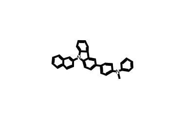 CN(c1ccccc1)c1ccc(-c2ccc3c(c2)c2ccccc2n3-c2ccc3ccccc3c2)cc1